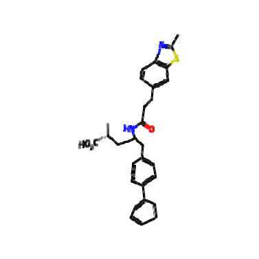 Cc1nc2ccc(CCC(=O)NC(Cc3ccc(-c4ccccc4)cc3)C[C@@H](C)C(=O)O)cc2s1